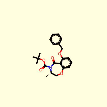 C[C@H]1COc2cccc(OCc3ccccc3)c2C(=O)N1C(=O)OC(C)(C)C